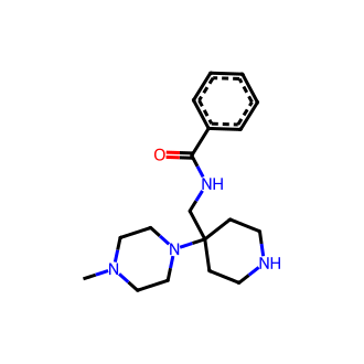 CN1CCN(C2(CNC(=O)c3ccccc3)CCNCC2)CC1